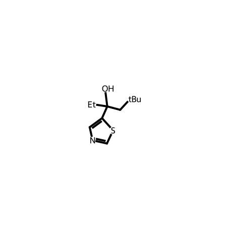 CCC(O)(CC(C)(C)C)c1cncs1